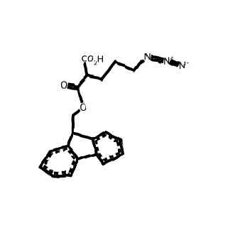 [N-]=[N+]=NCCCC(C(=O)O)C(=O)OCC1c2ccccc2-c2ccccc21